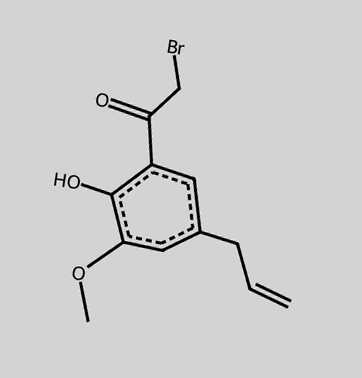 C=CCc1cc(OC)c(O)c(C(=O)CBr)c1